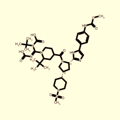 COC(=O)Nc1ccc(-c2cnc([C@@H]3C[C@H](C4CCN(S(C)(=O)=O)CC4)CN3C(=O)C3CCN(C(=NC(=O)O)N(C(=O)O)C(C)(C)C)C(C(C)(C)C)C3)[nH]2)cc1